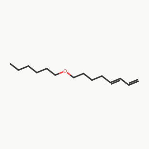 C=CC=CCCCCOCCCCCC